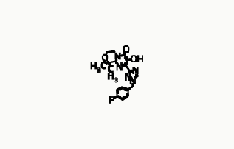 CC1(C)OCCn2c1nc(-c1ncn(Cc3ccc(F)cc3)n1)c(O)c2=O